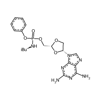 CC[C@H](C)NP(=O)(OC[C@@H]1OC[C@H](n2cnc3c(N)nc(N)nc32)O1)Oc1ccccc1